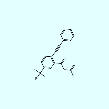 C=C(C)CC(=O)c1cc(C(F)(F)F)ccc1C#Cc1ccccc1